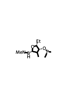 CC[C@H]1O[C@@H](BNC)C(C)[C@H]1OP(C)C